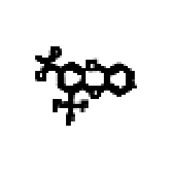 CS(=O)(=O)c1ccc(Oc2c[c]ccc2Cl)c(C(F)(F)F)c1